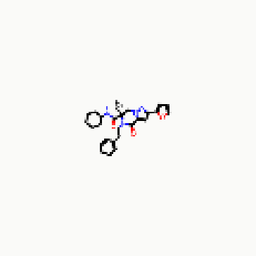 CC1(C(=O)NC2CCCCC2)Cn2nc(-c3ccco3)cc2C(=O)N1CCC1=CCCC=C1